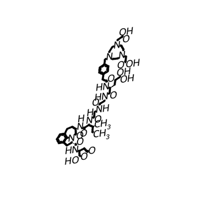 CC[C@H](C)[C@H](NC(=O)CNC(=O)CNC(=O)[C@H](CCC(O)O)NC(=O)Cc1ccc(CN2CCN(CC(=O)O)CCN(CC(=O)O)CC2)cc1)C(=O)N[C@H]1CCc2cccc3c2N(C1=O)[C@H](C(=O)NC1CC(=O)OC1O)C3